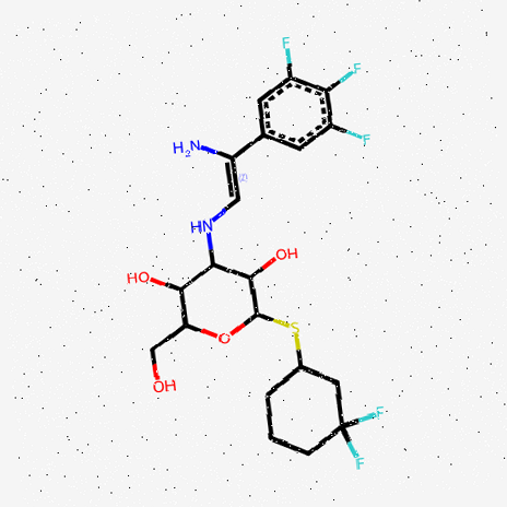 N/C(=C\NC1C(O)C(CO)OC(SC2CCCC(F)(F)C2)C1O)c1cc(F)c(F)c(F)c1